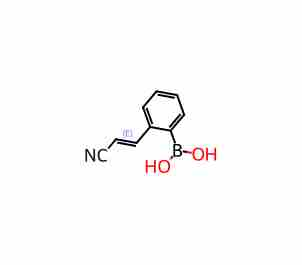 N#C/C=C/c1ccccc1B(O)O